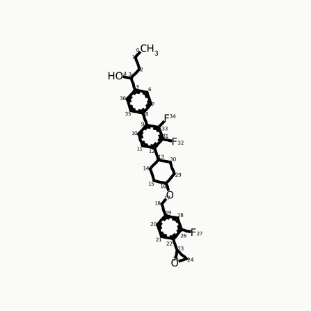 CCCC(O)c1ccc(-c2ccc(C3CCC(OCc4ccc(C5CO5)c(F)c4)CC3)c(F)c2F)cc1